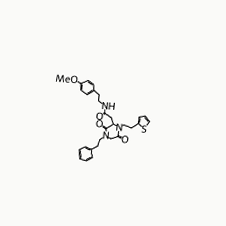 COc1ccc(CCNC(=O)CC2C(=O)N(CCc3ccccc3)CC(=O)N2CCc2cccs2)cc1